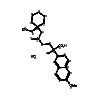 COc1ccc2cc([C@](C)(CCN(C)CC3(SN=O)CCCCC3)C(=O)O)ccc2c1.Cl